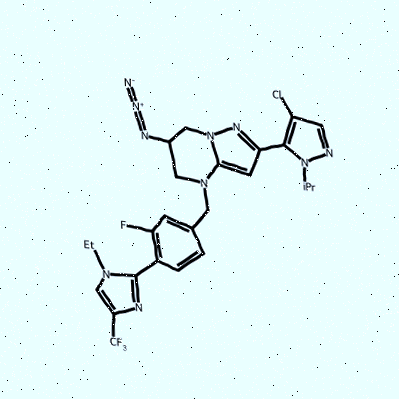 CCn1cc(C(F)(F)F)nc1-c1ccc(CN2CC(N=[N+]=[N-])Cn3nc(-c4c(Cl)cnn4C(C)C)cc32)cc1F